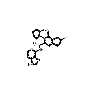 C[C@@H](Nc1ncnc2[nH]cnc12)c1nc2ccc(F)cc2c(=O)n1-c1ccccc1Cl